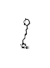 C(=CCCC1CCCCC1)CCc1c[nH]cn1